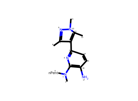 CCCCCN(C)c1nc(-c2c(C)nn(C)c2C)ccc1N